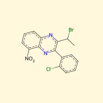 CC(Br)c1nc2cccc([N+](=O)[O-])c2nc1-c1ccccc1Cl